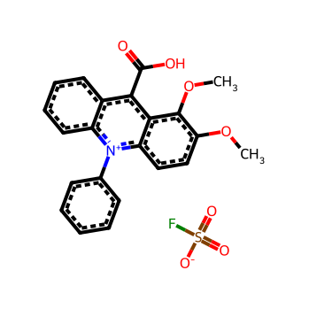 COc1ccc2c(c1OC)c(C(=O)O)c1ccccc1[n+]2-c1ccccc1.O=S(=O)([O-])F